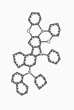 c1ccc(N(c2cccc3ccccc23)c2cc3c(c4ccccc24)c2cc4c5c(c2n3-c2ccccc2)Oc2ccccc2B5c2ccccc2O4)cc1